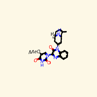 COc1cn(-c2nc3ccccc3n([C@@H]3CC4N[C@H](CCC4C)C3)c2=O)c(=O)[nH]c1=O